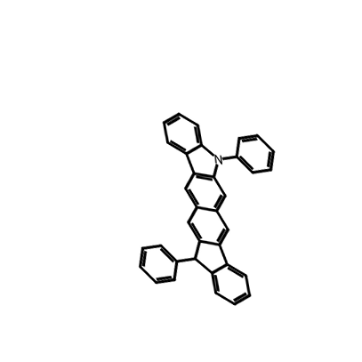 c1ccc(C2c3ccccc3-c3cc4cc5c(cc4cc32)c2ccccc2n5-c2ccccc2)cc1